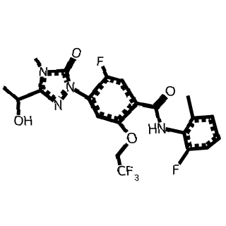 Cc1cccc(F)c1NC(=O)c1cc(F)c(-n2nc(C(C)O)n(C)c2=O)cc1OCC(F)(F)F